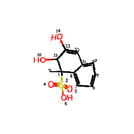 CC1(S(=O)(=O)O)c2ccccc2C=C(O)C1O